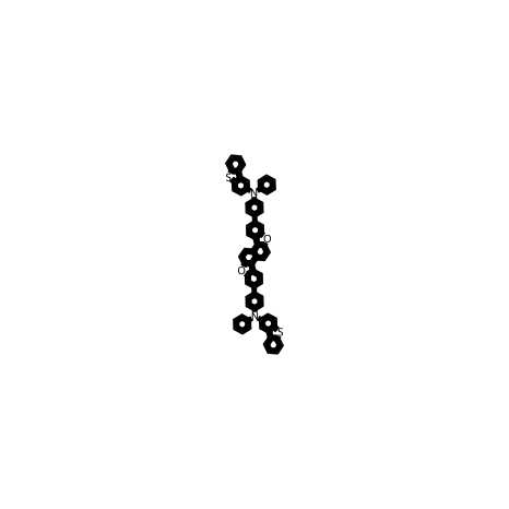 c1ccc(N(c2ccc(-c3ccc4c(c3)oc3ccc5c(ccc6oc7cc(-c8ccc(N(c9ccccc9)c9ccc%10sc%11ccccc%11c%10c9)cc8)ccc7c65)c34)cc2)c2ccc3sc4ccccc4c3c2)cc1